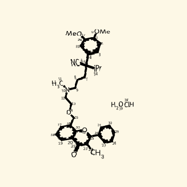 COc1ccc(C(C#N)(CCCN(C)CCOCc2cccc3c(=O)c(C)c(-c4ccccc4)oc23)C(C)C)cc1OC.Cl.O